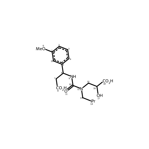 COc1cccc(C(CC(=O)O)NC(=O)N(CC(C)C)CC(O)C(=O)O)c1